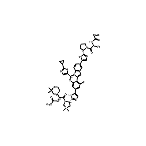 COC(=O)NC(C(=O)N1CCC[C@H]1c1ncc(-c2ccc3c(c2)cc2n3[C@H](c3cnc(C4CC4)s3)Oc3cc(-c4cnc([C@@H]5CS(C)(C)CN5C(=O)[C@@H](NC(=O)OC)[C@@H]5CCOC(C)(C)C5)[nH]4)cc(F)c3-2)[nH]1)C(C)C